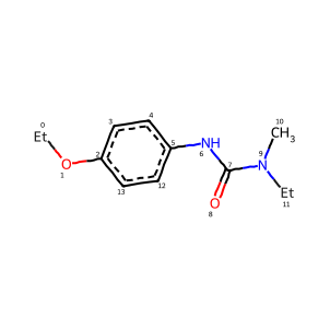 CCOc1ccc(NC(=O)N(C)CC)cc1